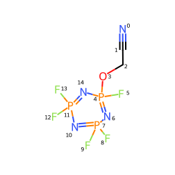 N#CCOP1(F)=NP(F)(F)=NP(F)(F)=N1